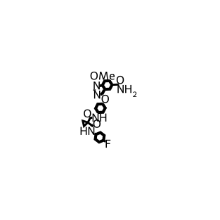 COc1cc2ncnc(Oc3ccc(NC(=O)C4(C(=O)Nc5ccc(F)cc5)CC4)cc3)c2cc1C(N)=O